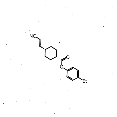 CCc1ccc(OC(=O)[C@H]2CC[C@H](C=CC#N)CC2)cc1